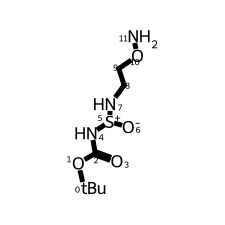 CC(C)(C)OC(=O)N[S+]([O-])NCCON